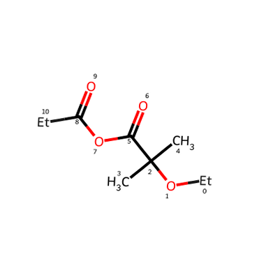 CCOC(C)(C)C(=O)OC(=O)CC